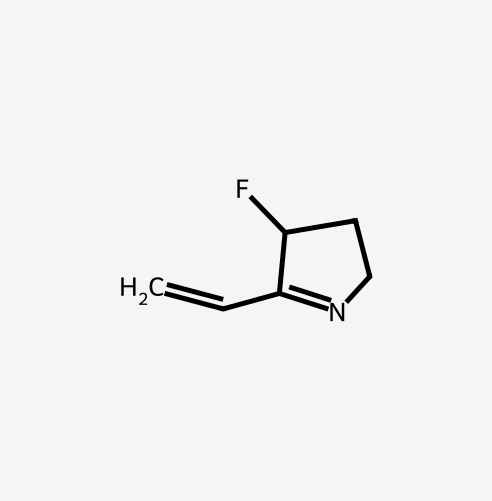 C=CC1=NCCC1F